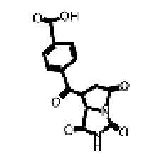 O=C(O)c1ccc(C(=O)C2CC(=O)N3C(=O)NC(=O)C23)cc1